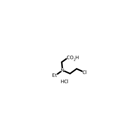 CCN(CCCl)CC(=O)O.Cl